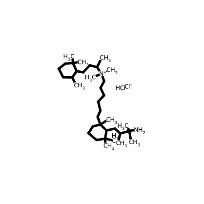 CC1CCCC(C)(C)C1CCC(C)[N+](C)(C)CCCCCCC1(C)CCCC(C)(C)C1CC(C)C(C)(C)N.Cl.[Cl-]